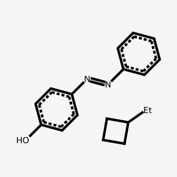 CCC1CCC1.Oc1ccc(N=Nc2ccccc2)cc1